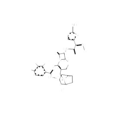 Cc1c(C(=O)N[C@H]2C[C@H]3CC[C@@H](C2)[N+]3(C)CC2=C(C=O)N3C(=O)[C@@H](NC(=O)/C(=N\O)c4csc(N)n4)[C@H]3SC2)ccc(O)c1O